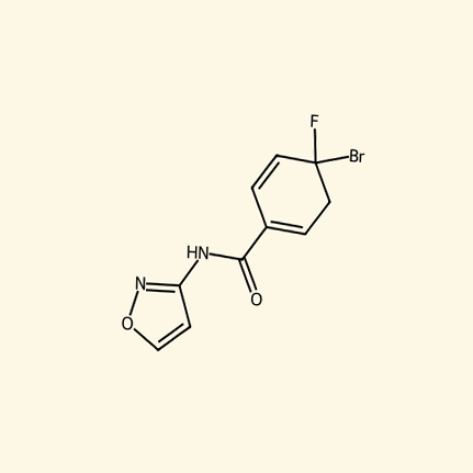 O=C(Nc1ccon1)C1=CCC(F)(Br)C=C1